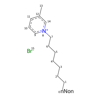 CCCCCCCCCCCCCCCC[n+]1cccc(C)c1.[Br-]